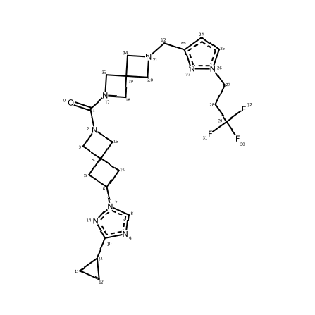 O=C(N1CC2(CC(n3cnc(C4CC4)n3)C2)C1)N1CC2(CN(Cc3ccn(CCC(F)(F)F)n3)C2)C1